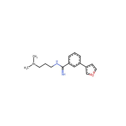 C[As](C)CCCNC(=N)c1cccc(-c2ccoc2)c1